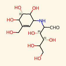 O=CC(NC1C=C(CO)C(O)[C@H](O)C1O)[C@@H](O)[C@H](O)C(O)CO